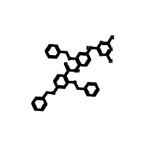 O=C(Nc1ccc(Nc2nc(Cl)nc(Cl)n2)cc1OCc1ccccc1)c1ccc(OCc2ccccc2)cc1OCc1ccccc1